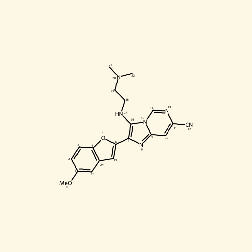 COc1ccc2oc(-c3nc4cc(C#N)ncn4c3NCCN(C)C)cc2c1